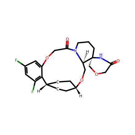 O=C1COC[C@]2(CCCN3C(=O)COc4cc(F)cc(F)c4[C@H]4CC[C@H](CC4)OC[C@@H]32)N1